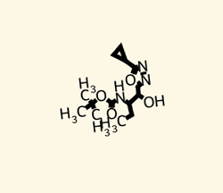 CCC(NC(=O)OC(C)(C)C)C(O)c1nnc(C2CC2)o1